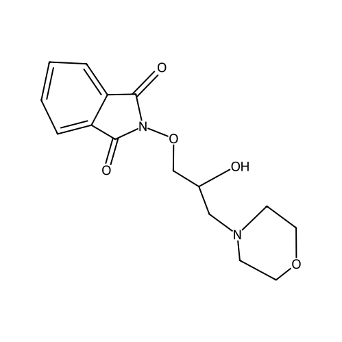 O=C1c2ccccc2C(=O)N1OCC(O)CN1CCOCC1